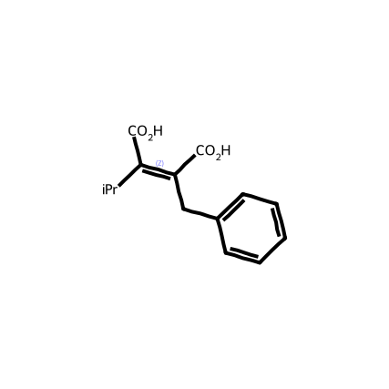 CC(C)/C(C(=O)O)=C(\Cc1ccccc1)C(=O)O